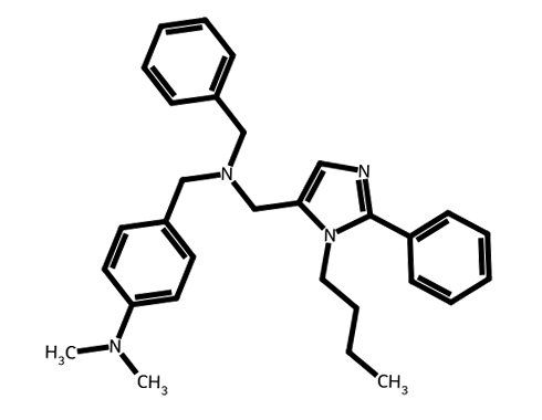 CCCCn1c(CN(Cc2ccccc2)Cc2ccc(N(C)C)cc2)cnc1-c1ccccc1